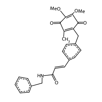 COC1=C(OC)C(=O)C(Cc2ccc(C=CC(=O)NCc3ccccc3)cc2)=C(C)C1=O